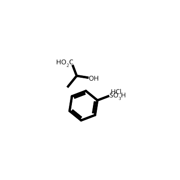 CC(O)C(=O)O.Cl.O=S(=O)(O)c1ccccc1